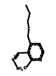 CCCCCc1ccnc(Cl)c1/C=N\N